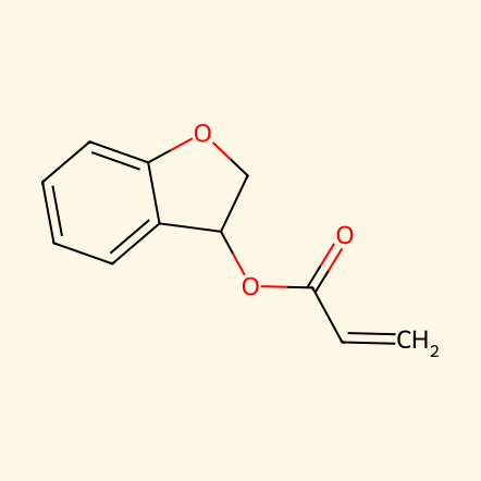 C=CC(=O)OC1COc2ccccc21